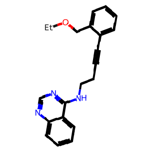 CCOCc1ccccc1C#CCCNc1ncnc2ccccc12